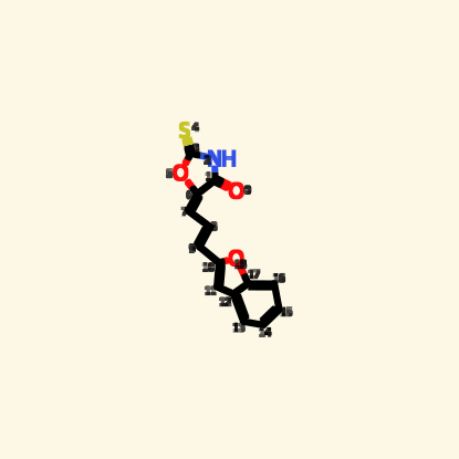 O=C1NC(=S)OC1=CC=Cc1cc2ccccc2o1